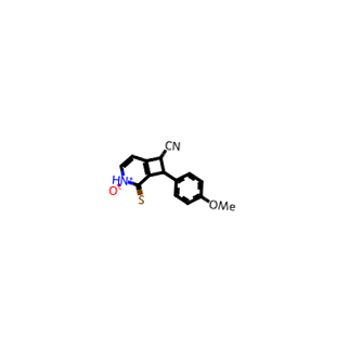 COc1ccc(C2C3=C(C=C[NH+]([O-])C3=S)C2C#N)cc1